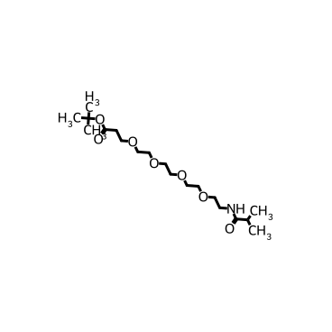 CC(C)C(=O)NCCOCCOCCOCCOCCC(=O)OC(C)(C)C